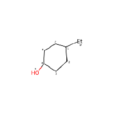 CCC1CCC(O)CC1